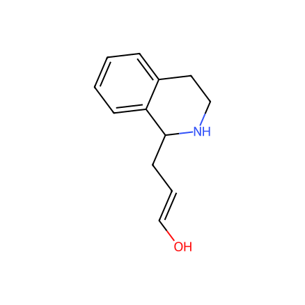 OC=CCC1NCCc2ccccc21